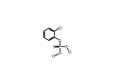 S=P(OCl)(OCl)Oc1ccccc1Cl